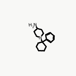 NC1CCN(C2(c3ccccc3)CCCCC2)CC1